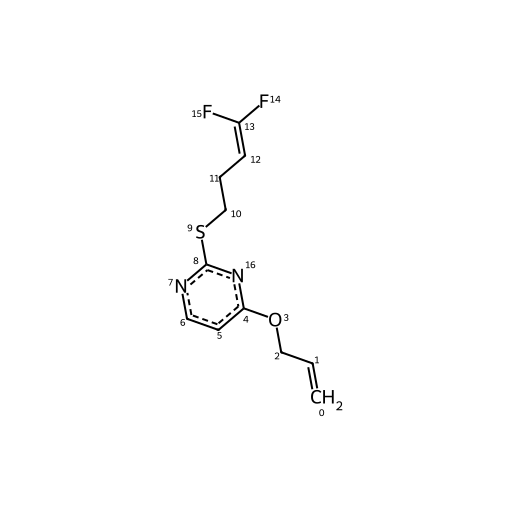 C=CCOc1ccnc(SCCC=C(F)F)n1